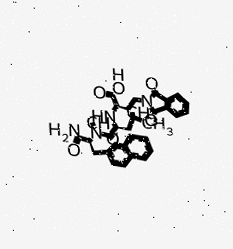 CC(C)C[C@H](N[C@H](CCN1C(=O)c2ccccc2C1=O)C(=O)O)C(=O)N(C)[C@@H](Cc1ccc2ccccc2c1)C(N)=O